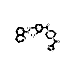 O=C(c1ccc(NSc2cccc3cccnc23)c(C(F)(F)F)c1)N1CCN(C(=O)c2cscn2)CC1